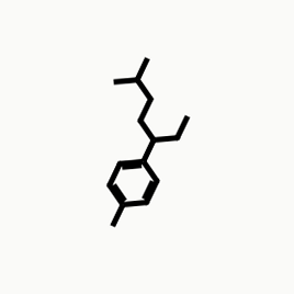 CCC(CCC(C)C)c1ccc(C)cc1